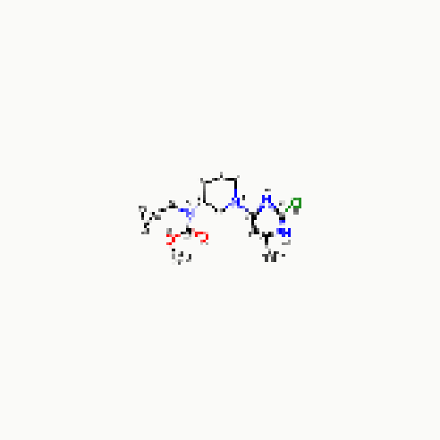 CCCc1cc(N2CCC[C@@H](N(CC3CC3)C(=O)OC(C)(C)C)C2)nc(Cl)n1